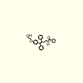 O=C(NCC/C(=C(\c1ccccc1)c1ccc(OCCO)cc1)c1ccccc1)N1CCCC1